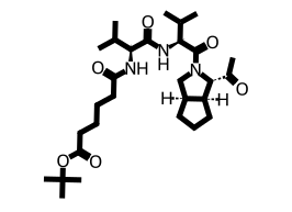 CC(=O)[C@@H]1[C@H]2CCC[C@H]2CN1C(=O)[C@@H](NC(=O)[C@@H](NC(=O)CCCCC(=O)OC(C)(C)C)C(C)C)C(C)C